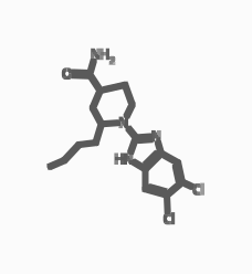 CCCCC1CC(C(N)=O)CCN1c1nc2cc(Cl)c(Cl)cc2[nH]1